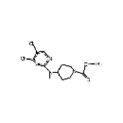 CC(C)(C)OC(=O)N1CCC(Nc2ncc(Cl)c(Cl)n2)CC1